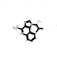 CC(C)[C@@H](C)n1cnc2c(N)nc3ccccc3c21